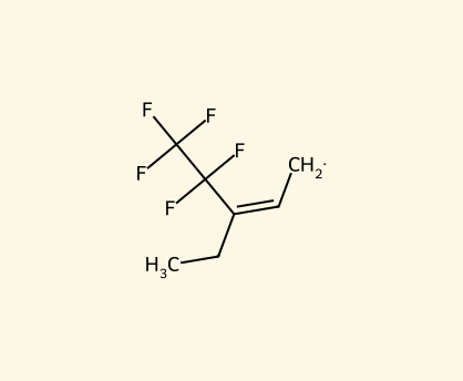 [CH2]C=C(CC)C(F)(F)C(F)(F)F